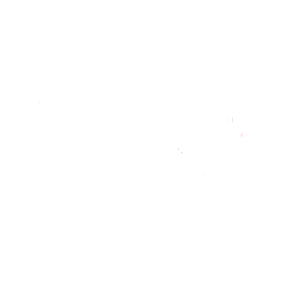 CCCc1ccc(C(=O)NC(C)(CC)C(=O)O)cc1